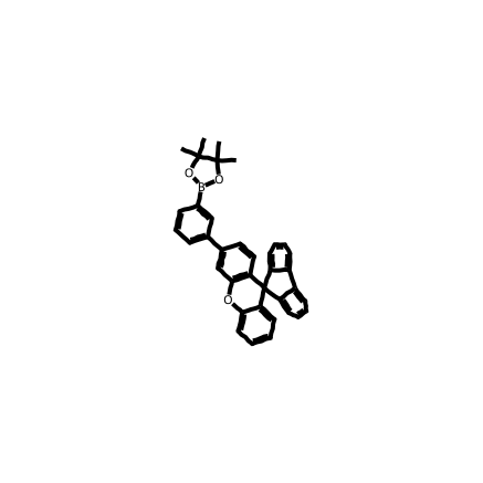 CC1(C)OB(c2cccc(-c3ccc4c(c3)Oc3ccccc3C43c4ccccc4-c4ccccc43)c2)OC1(C)C